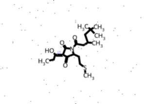 CC/C(O)=C1\C(=O)C(CCSC)N(C(=O)CC(C)CC(C)(C)C)C1=O